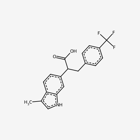 Cc1c[nH]c2cc(C(Cc3ccc(C(F)(F)F)cc3)C(=O)O)ccc12